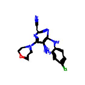 N#Cc1nc(Nc2ccc(Cl)cc2)c(N)c(N2CCOCC2)n1